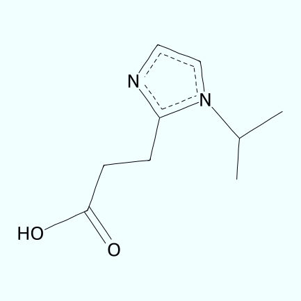 CC(C)n1ccnc1CCC(=O)O